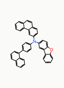 c1ccc2c(-c3ccc(N(c4ccc5ccc6ccccc6c5c4)c4ccc5oc6ccccc6c5c4)cc3)cccc2c1